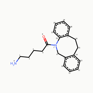 NCCCCC(=O)N1Cc2ccccc2CCc2ccccc21